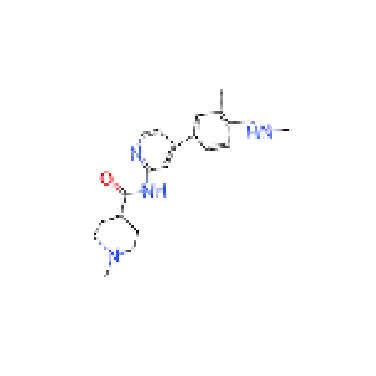 CNCc1ccc(-c2ccnc(NC(=O)C3CCN(C)CC3)c2)cc1C